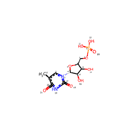 Cc1cn([C@@H]2OC(COP(=O)(O)O)C(O)[C@H]2O)c(=O)[nH]c1=O